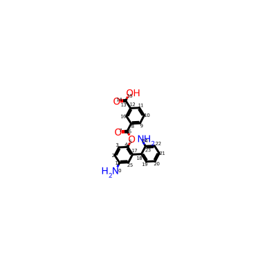 Nc1ccc(OC(=O)c2cccc(C(=O)O)c2)c(-c2ccccc2N)c1